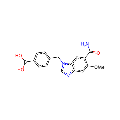 COc1cc2ncn(Cc3ccc(B(O)O)cc3)c2cc1C(N)=O